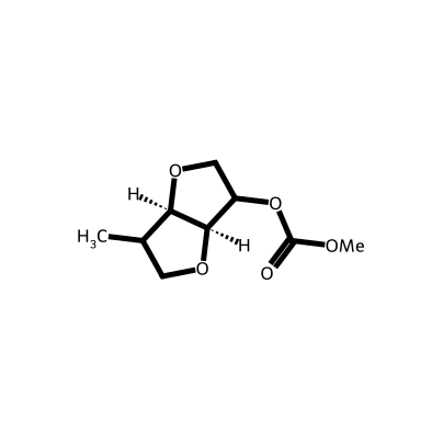 COC(=O)OC1CO[C@@H]2C(C)CO[C@H]12